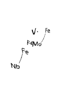 [Fe].[Fe][Mo].[Fe][Nb].[V]